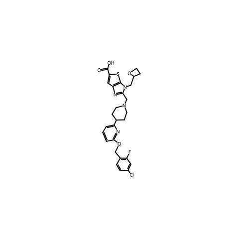 O=C(O)c1cc2nc(CN3CCC(c4cccc(OCc5ccc(Cl)cc5F)n4)CC3)n(CC3CCO3)c2s1